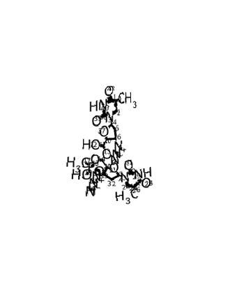 Cc1cn([C@H]2C[C@H](N=[N+]=[N-])[C@@H](C(O)OC(OP(C)(=O)O)[C@H]3O[C@@H](n4cc(C)c(=O)[nH]c4=O)C[C@@H]3N=[N+]=[N-])O2)c(=O)[nH]c1=O